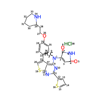 CN(C1=CC(=O)NC1=O)c1nc(-c2cccs2)nc2scc(-c3ccc(OCCC4CCCCN4)cc3)c12.Cl